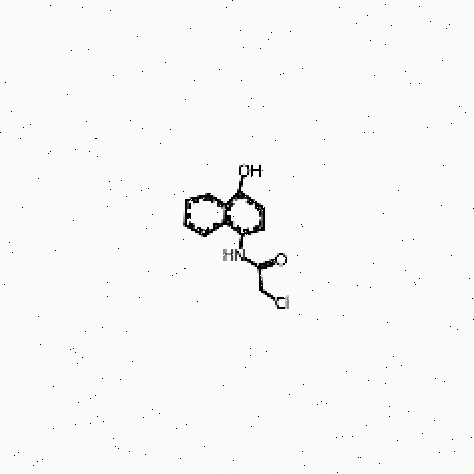 O=C(CCl)Nc1ccc(O)c2ccccc12